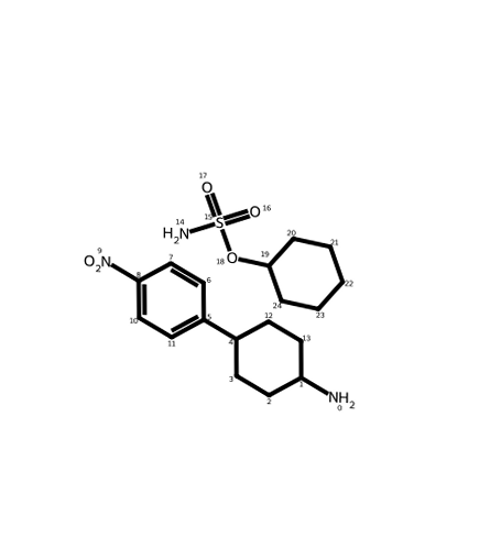 NC1CCC(c2ccc([N+](=O)[O-])cc2)CC1.NS(=O)(=O)OC1CCCCC1